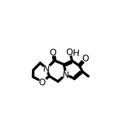 Cc1cn2c(c(O)c1=O)C(=O)N1CCCOC1C2